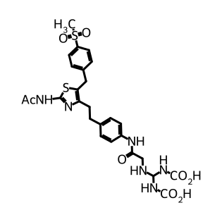 CC(=O)Nc1nc(CCc2ccc(NC(=O)CNC(NC(=O)O)NC(=O)O)cc2)c(Cc2ccc(S(C)(=O)=O)cc2)s1